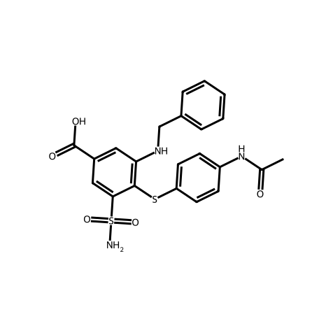 CC(=O)Nc1ccc(Sc2c(NCc3ccccc3)cc(C(=O)O)cc2S(N)(=O)=O)cc1